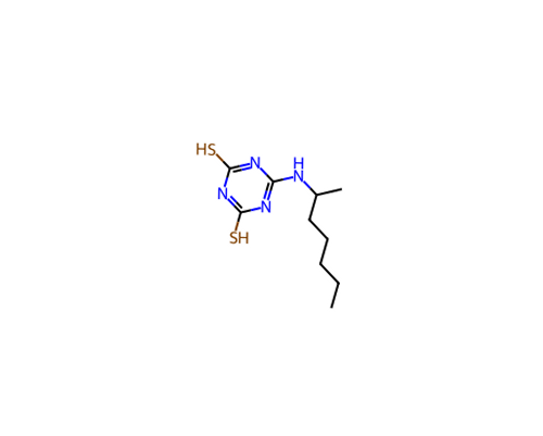 CCCCCC(C)Nc1nc(S)nc(S)n1